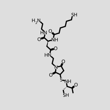 CC(=O)[C@H](CS)NSC1CC(=O)N(CCNC(=O)C[C@H](NC(=O)CCCCCS)C(=O)NCCN)C1=O